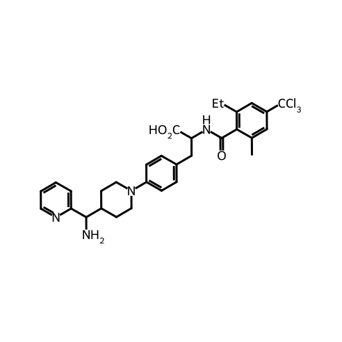 CCc1cc(C(Cl)(Cl)Cl)cc(C)c1C(=O)NC(Cc1ccc(N2CCC(C(N)c3ccccn3)CC2)cc1)C(=O)O